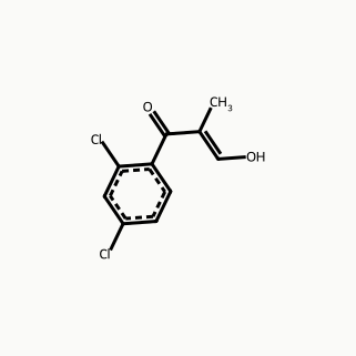 CC(=CO)C(=O)c1ccc(Cl)cc1Cl